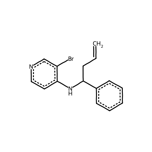 C=CCC(Nc1ccncc1Br)c1ccccc1